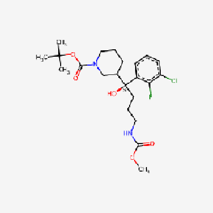 COC(=O)NCCC[C@@](O)(c1cccc(Cl)c1F)C1CCCN(C(=O)OC(C)(C)C)C1